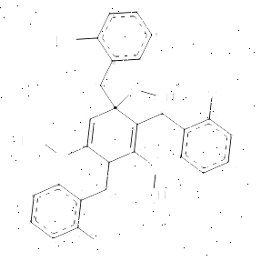 COC1=CC(Cc2ccccc2O)(OC)C(Cc2ccccc2O)=C(OC)C1Cc1ccccc1O